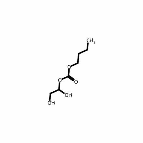 CCCCOC(=O)OC(O)CO